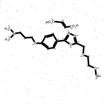 CN(C)CCCOc1ccc(-c2nnc(CSCCOC(C)(C)C)o2)cc1.O=C(O)C=CC(=O)O